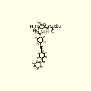 CC(C)(C)C(=O)ONC(=O)C(NC(=O)c1ccc(C#Cc2ccc(CN3CCOCC3)cc2)cc1)C(C)(O)C(F)F